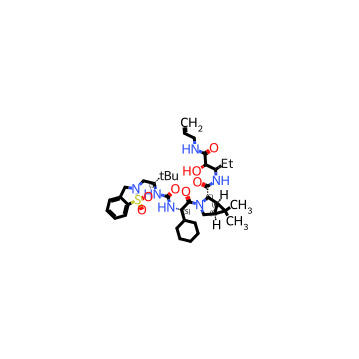 C=CCNC(=O)C(O)C(CC)NC(=O)[C@@H]1[C@@H]2[C@H](CN1C(=O)[C@@H](NC(=O)N[C@H](CN1Cc3ccccc3S1(=O)=O)C(C)(C)C)C1CCCCC1)C2(C)C